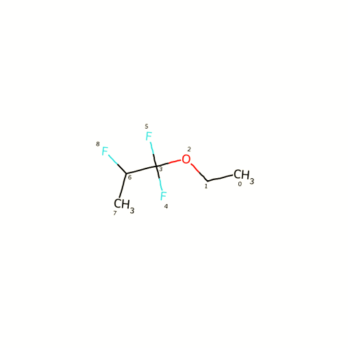 CCOC(F)(F)C(C)F